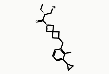 CC[C@H](CO)C(=O)N1CC2(CC(Cc3cccc(C4CC4)c3C)C2)C1